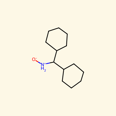 [O-][NH2+]C(C1CCCCC1)C1CCCCC1